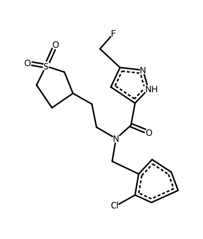 O=C(c1cc(CF)n[nH]1)N(CCC1CCS(=O)(=O)C1)Cc1ccccc1Cl